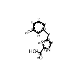 O=C(O)c1ncc(Cc2cccc(F)c2)s1